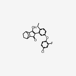 CCc1ccc(Oc2ccc(Cl)cc2F)cc1C1=C(O)C2C3CCC(CC3)C2C1=O